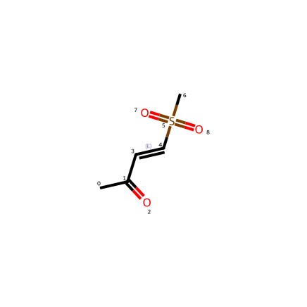 CC(=O)/C=C/S(C)(=O)=O